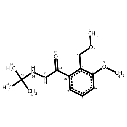 COCc1c(OC)cccc1C(=O)NNC(C)(C)C